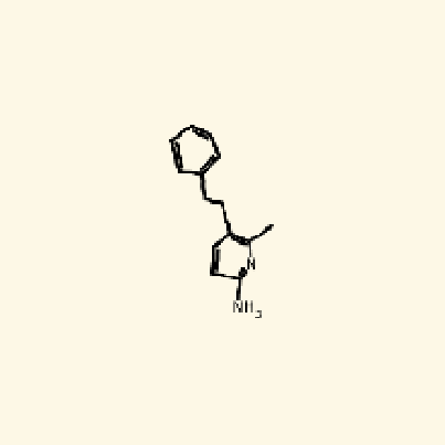 Cc1nc(N)ccc1CCc1ccccc1